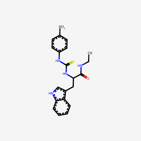 N#CCNC(=O)C(Cc1c[nH]c2ccccc12)NC(=S)Nc1ccc([N+](=O)[O-])cc1